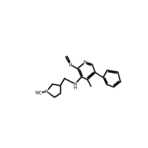 C=Nc1ncc(-c2ccccc2)c(C)c1NCC1CCN(C#N)C1